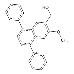 COc1cc2c(-[n+]3ccccc3)ncc(-c3ccccc3)c2cc1CO